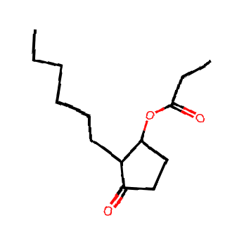 CCCCCCC1C(=O)CCC1OC(=O)CC